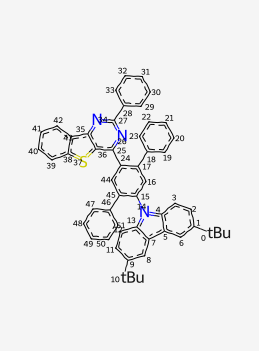 CC(C)(C)c1ccc2c(c1)c1cc(C(C)(C)C)ccc1n2-c1cc(-c2ccccc2)c(-c2nc(-c3ccccc3)nc3c2sc2ccccc23)cc1-c1ccccc1